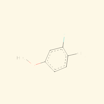 [CH2]c1ccc(OC)cc1F